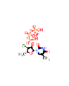 Cc1cn([C@@H]2O[C@H](C)[C@@H](Cl)C2OP(=O)(O)OP(=O)(O)OP(=O)(O)O)c(=O)[nH]c1=O